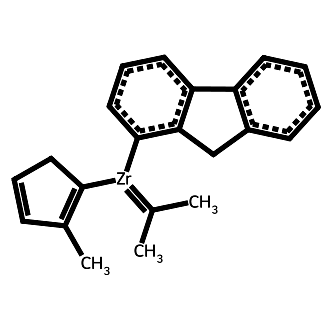 CC1=[C]([Zr](=[C](C)C)[c]2cccc3c2Cc2ccccc2-3)CC=C1